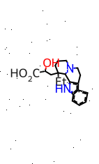 CCC1(CC(O)C(=O)O)CCCN2CCc3c([nH]c4ccccc34)C21